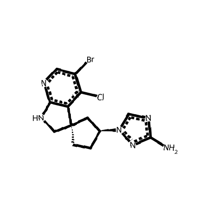 Nc1ncn([C@H]2CC[C@@]3(CNc4ncc(Br)c(Cl)c43)C2)n1